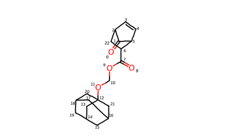 O=C1C2C=CC1C(C(=O)OCOC13CC4CC(CC(C4)C1)C3)C2